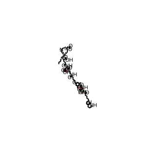 CCCCN(CCN1CCCN(CC(=O)OC)CCN(C)CC1)C(CCC(=O)NC(CS(=O)(=O)O)C(=O)NCCNC(=O)CCCOc1cc(C)c(S(=O)(=O)N[C@@H](CNC(=O)CCCCc2ccc3c(n2)NCCC3)C(=O)O)c(C)c1)C(=O)O